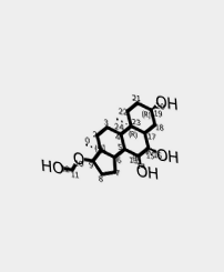 C[C@]12CCC3C(C1CCC2OCO)[C@H](O)[C@H](O)C1C[C@H](O)CC[C@]31C